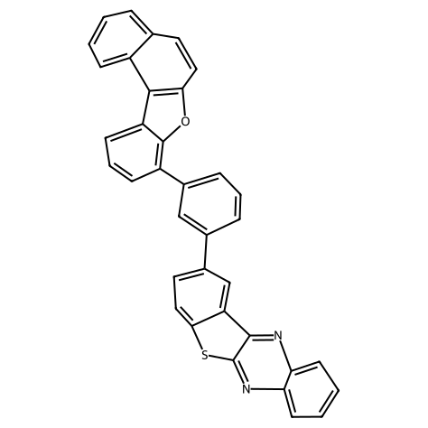 c1cc(-c2ccc3sc4nc5ccccc5nc4c3c2)cc(-c2cccc3c2oc2ccc4ccccc4c23)c1